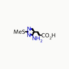 CSc1ncc(C=CC(=O)O)c(N)n1